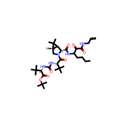 C=CCNC(=O)C(=O)C(CCCC)NC(=O)[C@@H]1C2[C@H](CN1C(=O)[C@@H](NC(=O)N[C@H](C(=O)OC(C)(C)C)C(C)(C)C)C(C)(C)C)C2(C)C